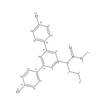 CCCC(C(=O)OC)c1cc(-c2ccc(Cl)cc2)cc(-c2ccc(Cl)cc2)c1